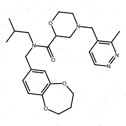 Cc1nnccc1CN1CCOC(C(=O)N(Cc2ccc3c(c2)OCCCO3)CC(C)C)C1